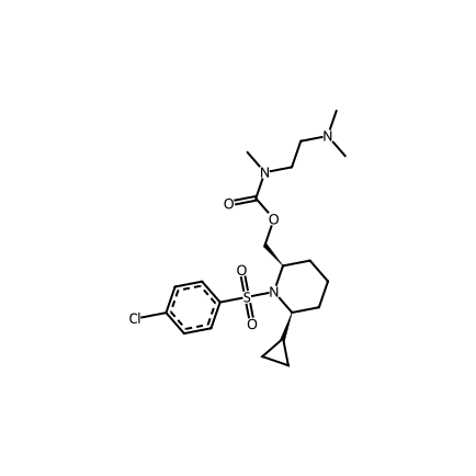 CN(C)CCN(C)C(=O)OC[C@H]1CCC[C@@H](C2CC2)N1S(=O)(=O)c1ccc(Cl)cc1